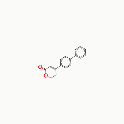 O=C1C=C(c2ccc(-c3ccccc3)cc2)CCO1